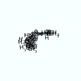 CC(C)C(CS(=O)(=O)C(C)C)N1C(=O)[C@@](C)(CC(=O)Nc2ccc(C(=O)NCCCOCCCNC(=O)OC(C)(C)C)cc2)C[C@H](c2cccc(Cl)c2)[C@H]1c1ccc(Cl)cc1